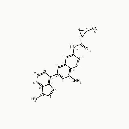 Cn1ccc2c(-c3cc(N)c4cnc(NC(=O)[C@@H]5CC5C#N)cc4c3)cncc21